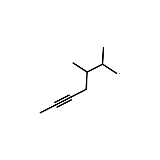 [CH2]C(C)C(C)CC#CC